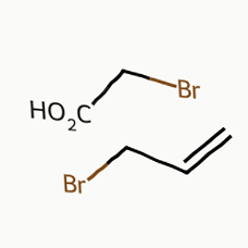 C=CCBr.O=C(O)CBr